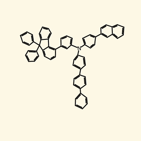 c1ccc(-c2ccc(-c3ccc(N(c4ccc(-c5ccc6ccccc6c5)cc4)c4cccc(-c5cccc6c5-c5ccccc5C6(c5ccccc5)c5ccccc5)c4)cc3)cc2)cc1